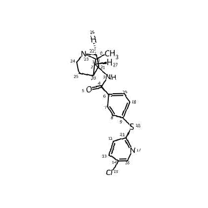 C[C@H]1[C@H](NC(=O)c2ccc(Sc3ccc(Cl)cn3)cc2)C2CCN1CC2